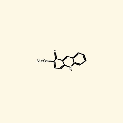 COc1ccc2[nH]c3ccccc3cc-2c1=O